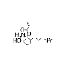 C=C(C)C(=O)OC1(N)C(O)CCC1CCCC(C)C